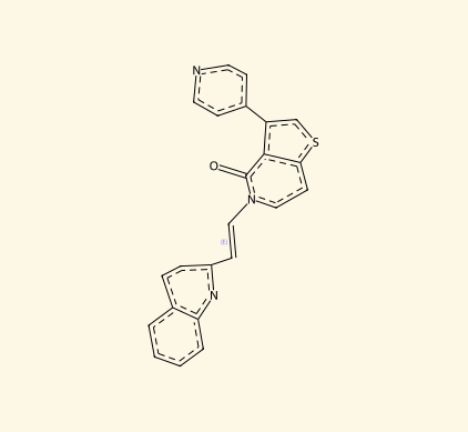 O=c1c2c(-c3ccncc3)csc2ccn1/C=C/c1ccc2ccccc2n1